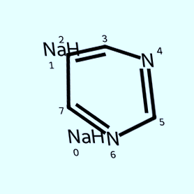 [NaH].[NaH].c1cncnc1